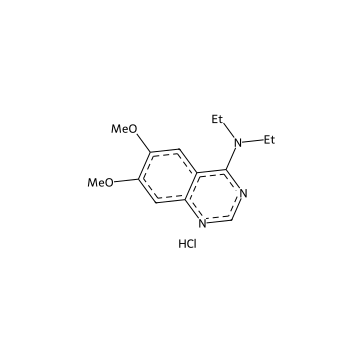 CCN(CC)c1ncnc2cc(OC)c(OC)cc12.Cl